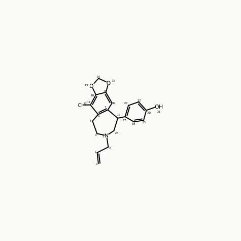 C=CCN1CCc2c(cc3c(c2Cl)OCO3)C(c2ccc(O)cc2)C1